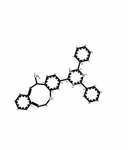 CC1/C=c2/cccc/c2=C/COc2cc(-c3nc(-c4ccccc4)nc(-c4ccccc4)n3)ccc21